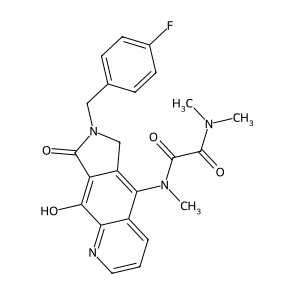 CN(C)C(=O)C(=O)N(C)c1c2c(c(O)c3ncccc13)C(=O)N(Cc1ccc(F)cc1)C2